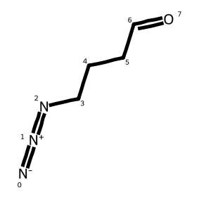 [N-]=[N+]=NCCCC=O